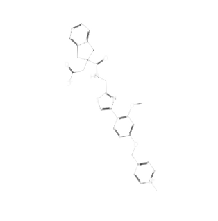 COc1cc(OCc2cc[n+](C)cc2)ccc1-c1csc(CNC(=O)C2(CC(=O)[O-])Cc3ccccc3C2)n1